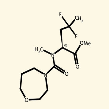 COC(=O)[C@H](CC(C)(F)F)N(C)C(=O)N1CCCOCC1